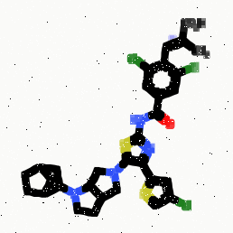 C/C(=C\c1c(Cl)cc(C(=O)Nc2nc(-c3cc(Cl)cs3)c(N3CC4CCN(C5CC6CCC5C6)C4C3)s2)cc1Cl)C(=O)O